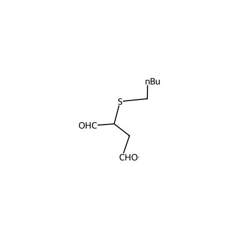 CCCCCSC(C=O)C[C]=O